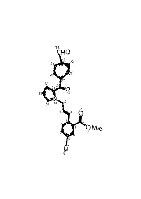 COC(=O)c1cc(Cl)ccc1C=CCn1cccc1C(=O)c1ccc(C=O)cc1